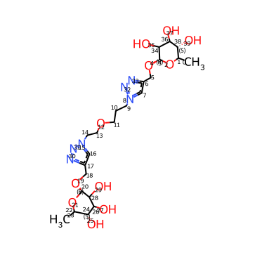 CC1O[C@@H](OCc2cn(CCCOCCn3cc(CO[C@@H]4OC(C)[C@@H](O)C(O)C4O)nn3)nn2)C(O)C(O)[C@@H]1O